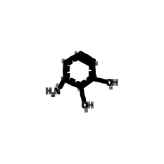 Nc1cc#cc(O)c1O